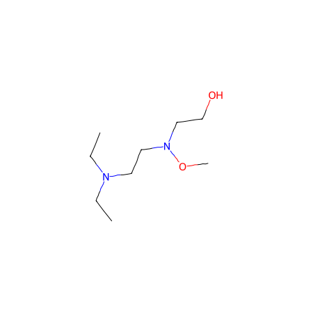 CCN(CC)CCN(CCO)OC